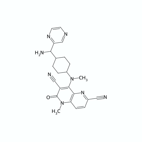 CN(c1c(C#N)c(=O)n(C)c2ccc(C#N)nc12)C1CCC(C(N)c2cnccn2)CC1